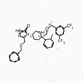 CC1C=CC=CC1[C@]1(CO[C@H](C)c2cc(C(F)(F)F)cc(C(F)(F)F)c2)CC[C@H](n2c(COCc3ccccc3)n[nH]c2=O)CN1